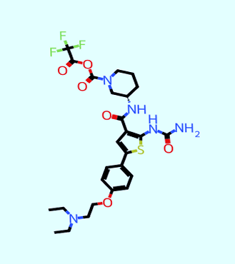 CCN(CC)CCOc1ccc(-c2cc(C(=O)N[C@H]3CCCN(C(=O)OC(=O)C(F)(F)F)C3)c(NC(N)=O)s2)cc1